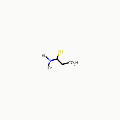 CCN(C(C)C)C(S)CC(=O)O